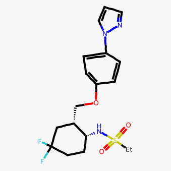 CCS(=O)(=O)N[C@@H]1CCC(F)(F)C[C@@H]1COc1ccc(-n2cccn2)cc1